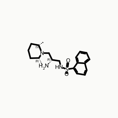 C[C@@H]1CCC[C@H](C)N1C[C@@H](N)CNS(=O)(=O)c1cccc2ccccc12